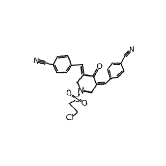 N#Cc1ccc(/C=C2/CN(S(=O)(=O)CCCl)C/C(=C\c3ccc(C#N)cc3)C2=O)cc1